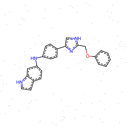 c1ccc(OCc2nc(-c3ccc(Nc4ccc5cc[nH]c5c4)cc3)c[nH]2)cc1